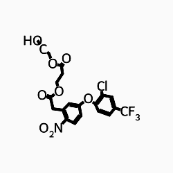 O=C(CCOC(=O)Cc1cc(Oc2ccc(C(F)(F)F)cc2Cl)ccc1[N+](=O)[O-])OCCO